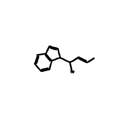 CC=CC(Br)C1C=Cc2[c]cccc21